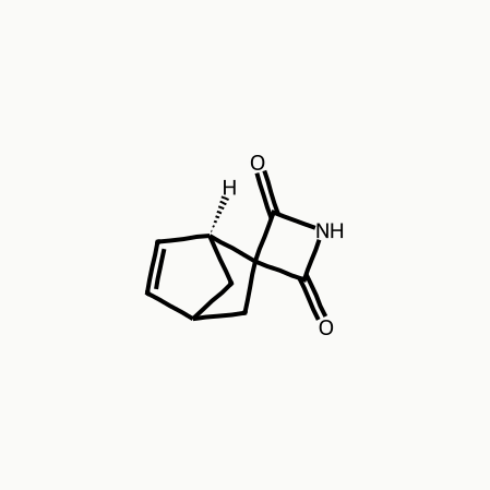 O=C1NC(=O)C12CC1C=C[C@@H]2C1